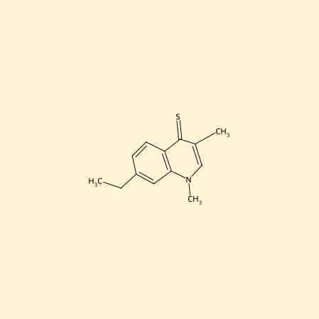 CCc1ccc2c(=S)c(C)cn(C)c2c1